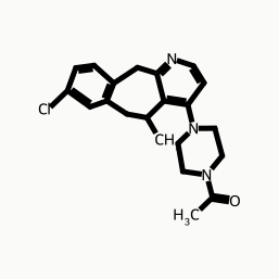 CC(=O)N1CCN(c2ccnc3c2C(C)Cc2cc(Cl)ccc2C3)CC1